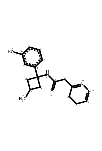 CC1CC(NC(=O)CC2=NN=CCC2)(c2cccc(O)c2)C1